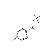 CC(OC(C)(F)F)c1ccc(F)cc1